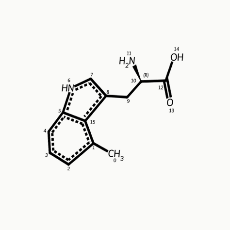 Cc1cccc2[nH]cc(C[C@@H](N)C(=O)O)c12